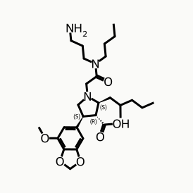 CCCCN(CCCN)C(=O)CN1C[C@H](c2cc(OC)c3c(c2)OCO3)[C@@H](C(=O)O)[C@@H]1CC(C)CCC